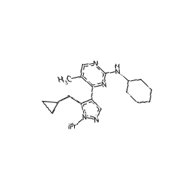 Cc1cnc(NC2CCCCC2)nc1-c1cnn(C(C)C)c1CC1CC1